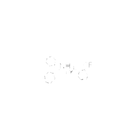 NC(COCc1cccc(C(F)(F)F)c1C(F)(F)F)(c1ccccc1)c1ccccc1